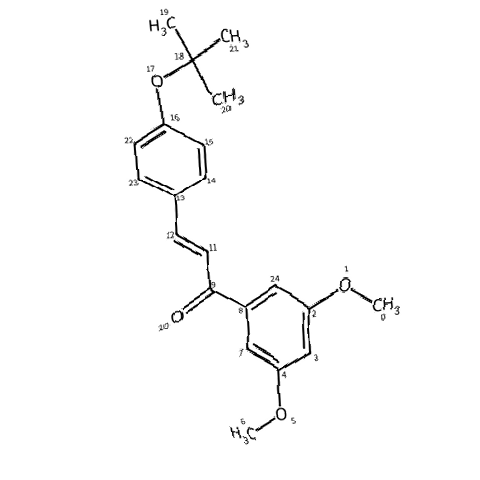 COc1cc(OC)cc(C(=O)C=Cc2ccc(OC(C)(C)C)cc2)c1